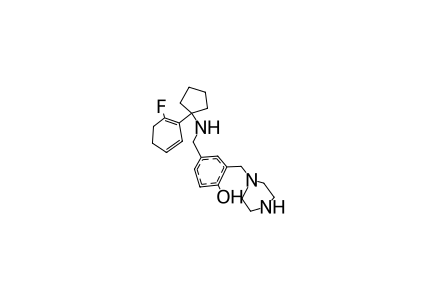 Oc1ccc(CNC2(C3=C(F)CCC=C3)CCCC2)cc1CN1CCNCC1